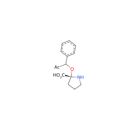 CC(=O)C(O[C@@]1(C(=O)O)CCCN1)c1ccccc1